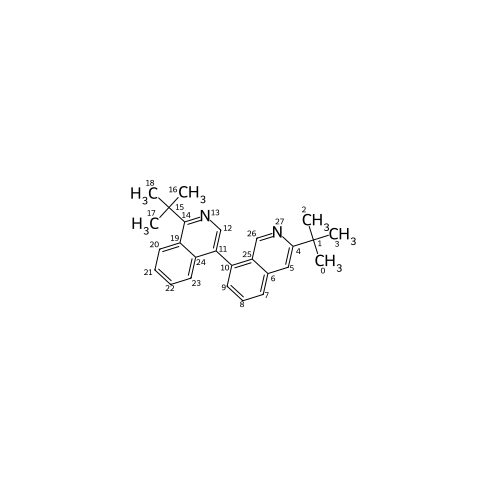 CC(C)(C)c1cc2cccc(-c3cnc(C(C)(C)C)c4ccccc34)c2cn1